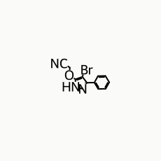 N#CCOc1[nH]nc(-c2ccccc2)c1Br